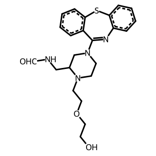 O=CNCC1CN(C2=Nc3ccccc3Sc3ccccc32)CCN1CCOCCO